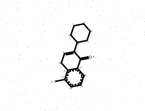 O=C1C(C2CCCCC2)=CCc2c(I)cccc21